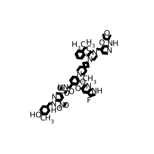 COc1nc2[nH]cc(F)c2cc1Oc1cc(N2CCC3(CC2)CC(N2CCN(Cc4ccnc5c4OC4COCC4N5)C[C@H]2c2ccccc2C(C)C)C3)ccc1C(=O)NS(=O)(=O)c1cnc(NCC2CCC(C)(O)CC2)c([N+](=O)[O-])c1